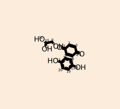 O=C1C=CC(=O)C=C1.OCC(O)O.Oc1ccc(O)cc1